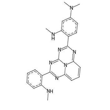 CNc1ccccc1C1=NC2=CC=CC3=NC(c4ccc(N(C)C)cc4NC)=NC(=N1)N23